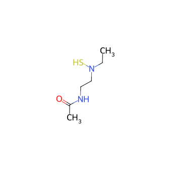 CCN(S)CCNC(C)=O